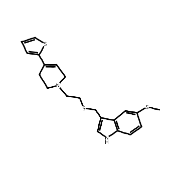 CSc1ccc2[nH]cc(CSCCN3CC=C(c4cccs4)CC3)c2c1